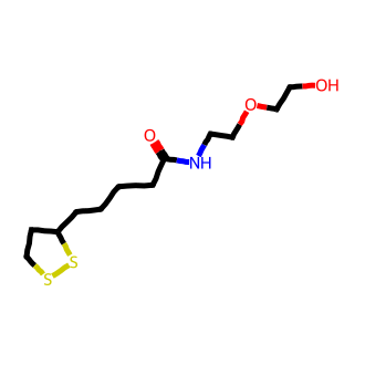 O=C(CCCCC1CCSS1)NCCOCCO